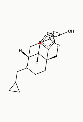 CC1(C)OC[C@]23CCN(CC4CC4)[C@H](Cc4ccc(O)cc42)[C@@H]3O1